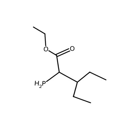 CCOC(=O)C(P)C(CC)CC